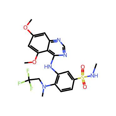 CNS(=O)(=O)c1ccc(N(C)CC(F)(F)F)c(Nc2ncnc3cc(OC)cc(OC)c23)c1